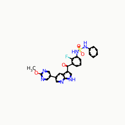 COc1ncc(-c2cnc3[nH]cc(C(=O)c4cccc(NS(=O)(=O)Nc5ccccc5)c4F)c3c2)cn1